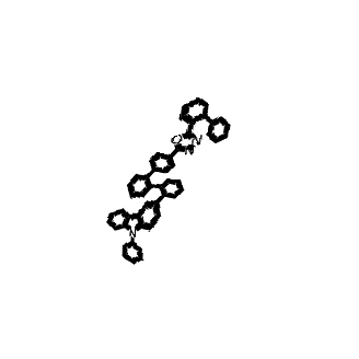 c1ccc(-c2ccccc2-c2nnc(-c3ccc(-c4ccccc4-c4ccccc4-c4ccc5c(c4)c4ccccc4n5-c4ccccc4)cc3)o2)cc1